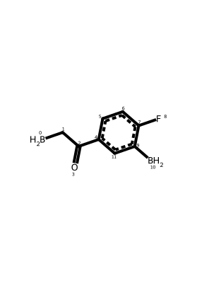 BCC(=O)c1ccc(F)c(B)c1